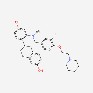 CCCN(Cc1ccc(OCCN2CCCCC2)c(F)c1)c1cc(O)ccc1C1CCc2cc(O)ccc2C1